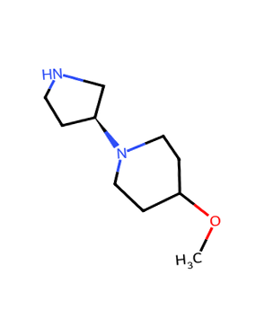 COC1CCN([C@H]2CCNC2)CC1